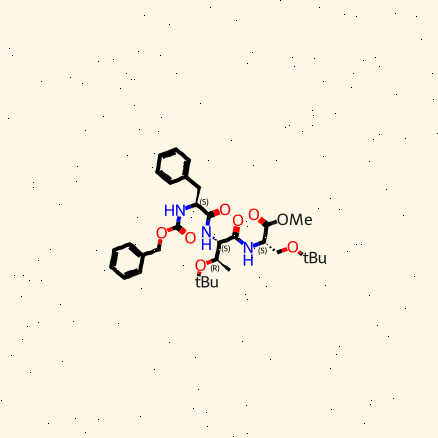 COC(=O)[C@H](COC(C)(C)C)NC(=O)[C@@H](NC(=O)[C@H](Cc1ccccc1)NC(=O)OCc1ccccc1)[C@@H](C)OC(C)(C)C